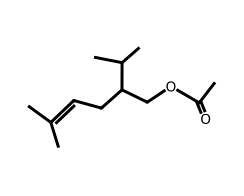 CC(=O)OCC(CC=C(C)C)C(C)C